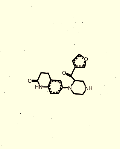 O=C1CCc2cc(N3CCNCC3C(=O)c3ccoc3)ccc2N1